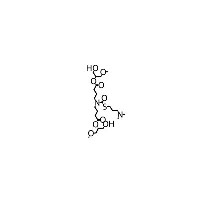 COCC(CO)OC(=O)CCCN(CCCC(=O)OC(CO)COC)C(=O)SCCCN(C)C